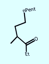 CCCCCCCC(C)C(=O)CC